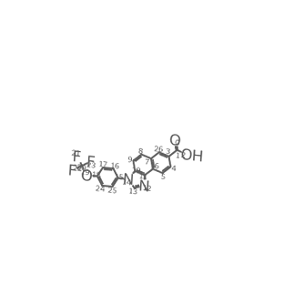 O=C(O)c1ccc2c(ccc3c2ncn3-c2ccc(OC(F)(F)F)cc2)c1